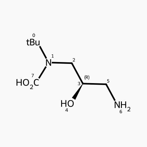 CC(C)(C)N(C[C@H](O)CN)C(=O)O